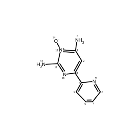 Nc1cc(-c2ccccn2)nc(N)[n+]1[O-]